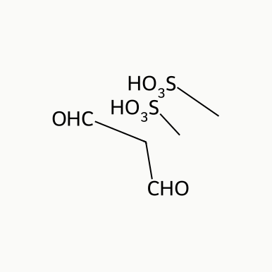 CS(=O)(=O)O.CS(=O)(=O)O.O=CCC=O